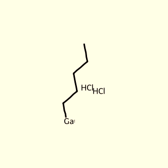 CCCC[CH2][Ga].Cl.Cl